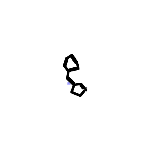 C1=NCC/C1=C/c1ccccc1